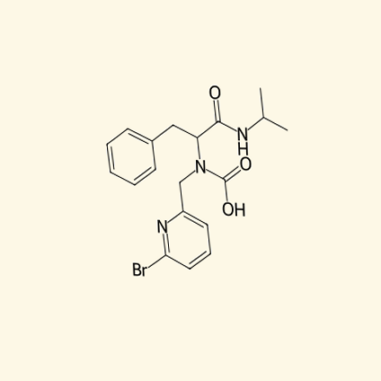 CC(C)NC(=O)C(Cc1ccccc1)N(Cc1cccc(Br)n1)C(=O)O